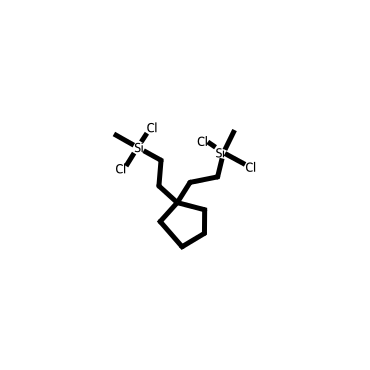 C[Si](Cl)(Cl)CCC1(CC[Si](C)(Cl)Cl)CCCC1